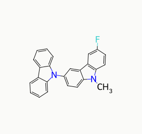 Cn1c2ccc(F)cc2c2cc(-n3c4ccccc4c4ccccc43)ccc21